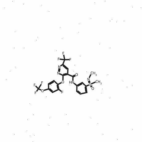 CN=S(C)(=O)c1cccc(NC(=O)c2cc(C(F)(F)F)nnc2Oc2ccc(OC(F)(F)F)cc2F)c1